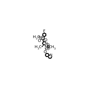 CCc1cc2c(C(=O)NC)c(-c3ccc(F)cc3)oc2nc1N(CCOc1ccc2cccnc2c1)S(C)(=O)=O